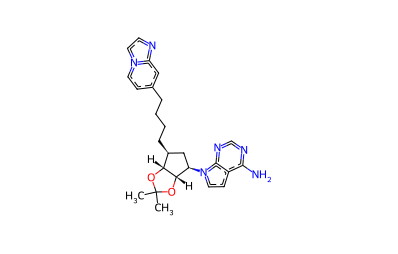 CC1(C)O[C@@H]2[C@@H](CCCCc3ccn4ccnc4c3)C[C@@H](n3ccc4c(N)ncnc43)[C@@H]2O1